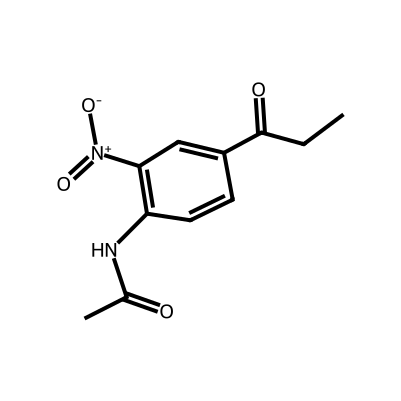 CCC(=O)c1ccc(NC(C)=O)c([N+](=O)[O-])c1